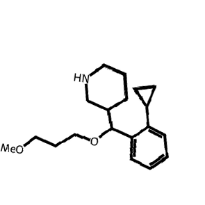 COCCCOC(c1ccccc1C1CC1)C1CCCNC1